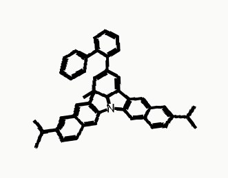 CC(C)c1ccc2cc3c(cc2c1)C1=CC(c2ccccc2-c2ccccc2)=CC2(C)c4cc5cc(C(C)C)ccc5cc4N3C12